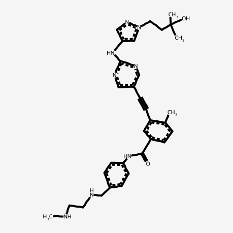 CNCCNCc1ccc(NC(=O)c2ccc(C)c(C#Cc3cnc(Nc4cnn(CCC(C)(C)O)c4)nc3)c2)cc1